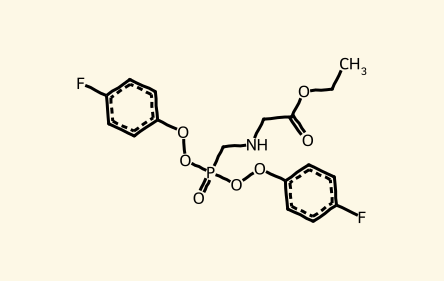 CCOC(=O)CNCP(=O)(OOc1ccc(F)cc1)OOc1ccc(F)cc1